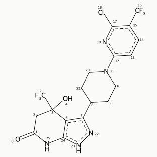 O=C1CC(O)(C(F)(F)F)c2c(C3CCN(c4ccc(C(F)(F)F)c(Cl)n4)CC3)n[nH]c2N1